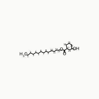 CCCCCCCCCCCCCCOC(=O)C1CCCC(O)C1